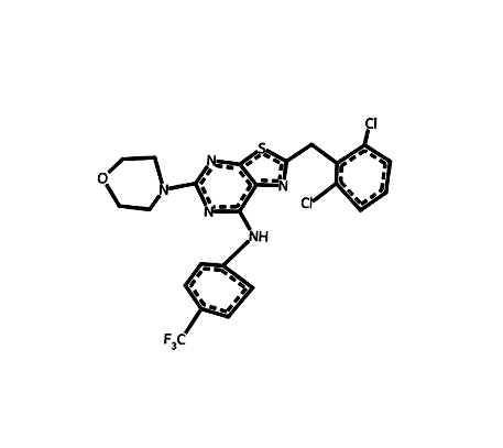 FC(F)(F)c1ccc(Nc2nc(N3CCOCC3)nc3sc(Cc4c(Cl)cccc4Cl)nc23)cc1